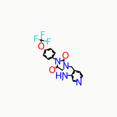 CNc1cnccc1CN1CC(=O)N(c2ccc(OC(F)(F)F)cc2)C1=O